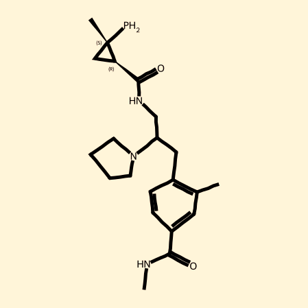 CNC(=O)c1ccc(CC(CNC(=O)[C@H]2C[C@]2(C)P)N2CCCC2)c(C)c1